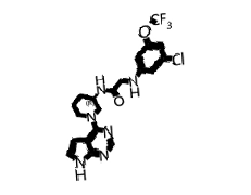 O=C(CNc1cc(Cl)cc(OC(F)(F)F)c1)N[C@@H]1CCCN(c2ncnc3[nH]ccc23)C1